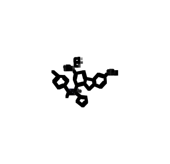 C/[C](c1ccc(C)cc1)=[Zr+2](\[C]1=CC=CC1)[c]1cc(C(C)(C)C)cc2c1Cc1ccc(C(C)(C)C)cc1-2.[Cl-].[Cl-]